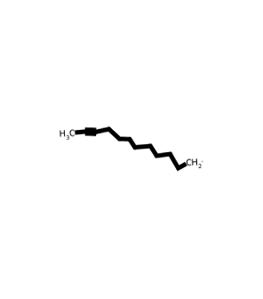 [CH2]CCCCCCCCC#CC